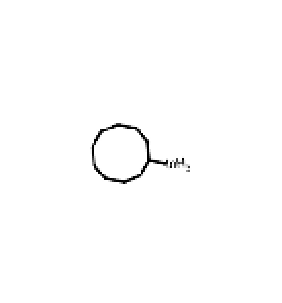 [InH2][CH]1CCCCCCCCC1